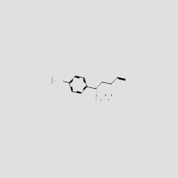 C=CCC[C@@H](NC)c1ccc(Br)cc1